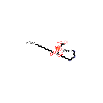 CCCCC/C=C\C/C=C\C/C=C\CCCCC(=O)O[C@H](COC(=O)CCCCCCCCCCCCCCCCCCCC)COP(=O)(O)OC[C@@H](O)CO